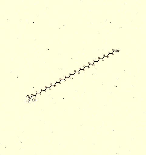 O=P(O)(O)OCCCCCCCCCCCCCCCCCCCCCCCCCCCCCCCCCCBr